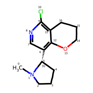 CN1CCC[C@H]1c1cnc(Cl)c2c1OCCC2